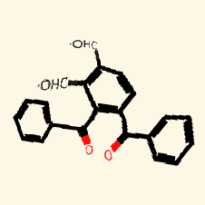 O=[C]c1ccc(C(=O)c2ccccc2)c(C(=O)c2ccccc2)c1[C]=O